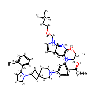 COC(=O)c1ccc(N2CCC3(CC2)CC(N2CCC[C@H]2c2ccccc2C(C)C)C3)cc1N1C[C@@H](C)Oc2nc3c(ccn3COCC[Si](C)(C)C)cc21